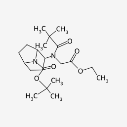 CCOC(=O)CN(C(=O)C(C)(C)C)C1CCC2CCC1N2C(=O)OC(C)(C)C